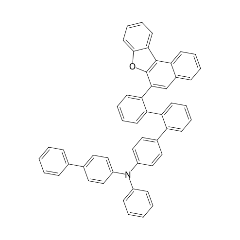 c1ccc(-c2ccc(N(c3ccccc3)c3ccc(-c4ccccc4-c4ccccc4-c4cc5ccccc5c5c4oc4ccccc45)cc3)cc2)cc1